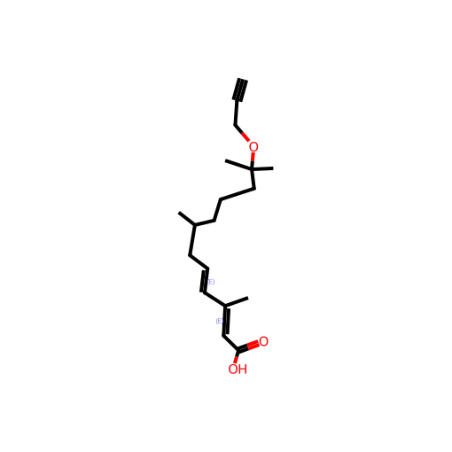 C#CCOC(C)(C)CCCC(C)C/C=C/C(C)=C/C(=O)O